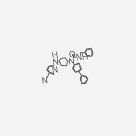 N#Cc1ccc(N[C@H]2CC[C@H](N(C(=O)NCc3ccccc3)c3ccc(-c4ccccc4)cc3)CC2)nc1